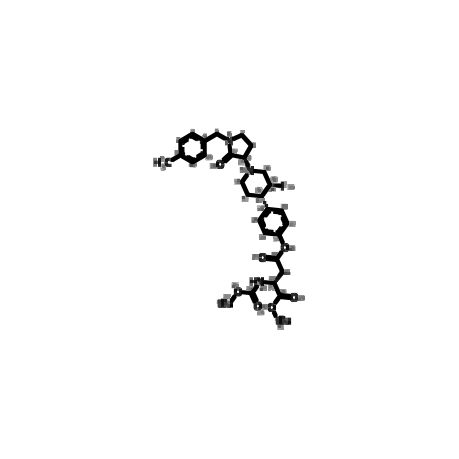 Cc1ccc(CN2CC[C@@H](N3CC[C@@H](c4ccc(OC(=O)C[C@H](NC(=O)OC(C)(C)C)C(=O)OC(C)(C)C)cc4)[C@H](F)C3)C2=O)cc1